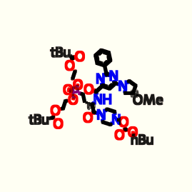 CCCCOC(=O)ON1CCN(C(=O)[C@H](CCP(=O)(OCCOC(=O)C(C)(C)C)OCCOC(=O)C(C)(C)C)NC(=O)c2cc(N3CC[C@H](OC)C3)nc(-c3ccccc3)n2)CC1